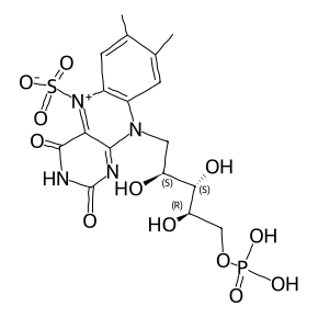 Cc1cc2c(cc1C)[n+](S(=O)(=O)[O-])c1c(=O)[nH]c(=O)nc-1n2C[C@H](O)[C@H](O)[C@H](O)COP(=O)(O)O